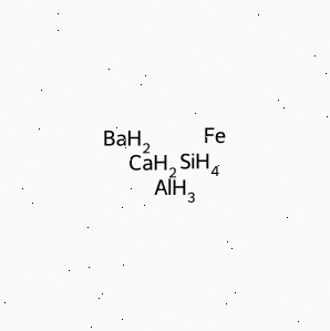 [AlH3].[BaH2].[CaH2].[Fe].[SiH4]